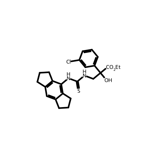 CCOC(=O)C(O)(CNC(=S)Nc1c2c(cc3c1CCC3)CCC2)c1cccc(Cl)c1